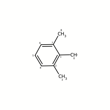 [CH]c1c(C)cccc1C